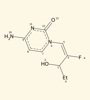 CCC(O)/C(F)=C\n1ccc(N)nc1=O